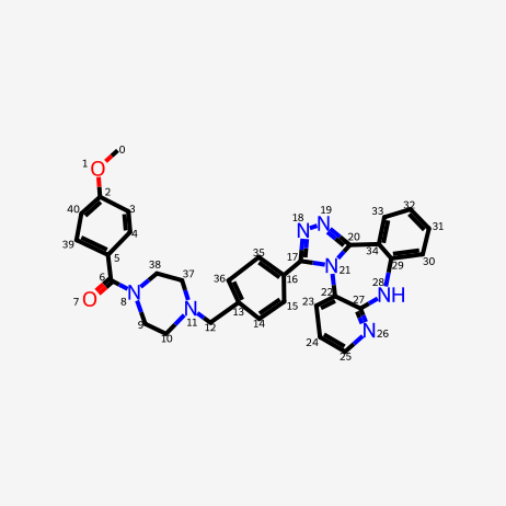 COc1ccc(C(=O)N2CCN(Cc3ccc(-c4nnc5n4-c4cccnc4Nc4ccccc4-5)cc3)CC2)cc1